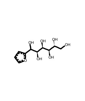 OC[C@@H](O)[C@@H](O)[C@H](O)[C@@H](O)C(O)c1ccco1